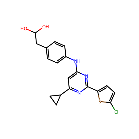 OC(O)Cc1ccc(Nc2cc(C3CC3)nc(-c3ccc(Cl)s3)n2)cc1